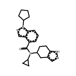 O=C(c1cccc2c1cnn2C1CCCC1)N(C1CC1)C1CCc2[nH]ncc2C1